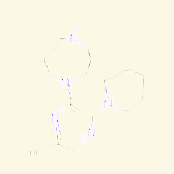 CN1CCCN(c2nc(Br)cnc2N2CCCCC2)CC1